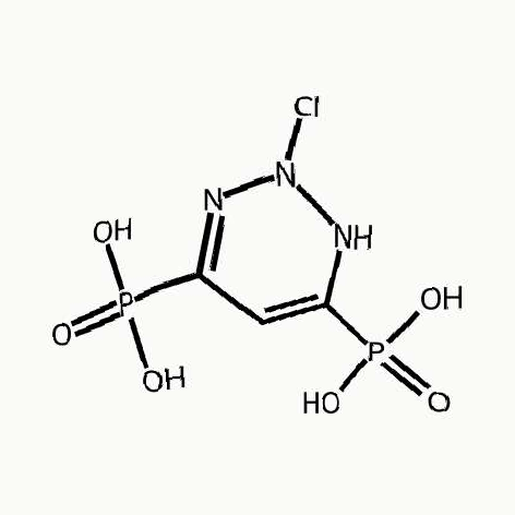 O=P(O)(O)C1=CC(P(=O)(O)O)=NN(Cl)N1